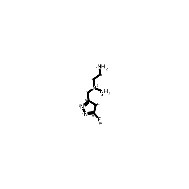 NCCN(N)CC1=NN=C(F)C1